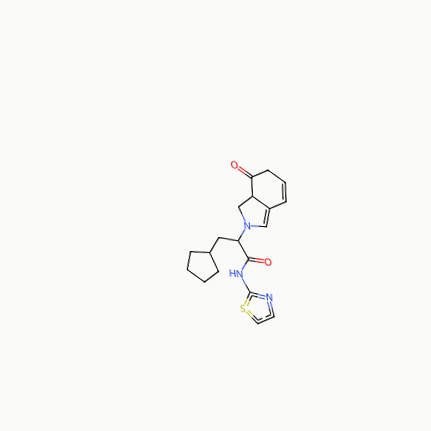 O=C1CC=CC2=CN(C(CC3CCCC3)C(=O)Nc3nccs3)CC12